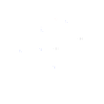 Cc1noc(Nc2cncc(-c3ccccn3)n2)c1C